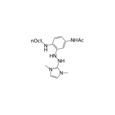 CCCCCCCCNc1ccc(NC(C)=O)cc1NNc1n(C)cc[n+]1C